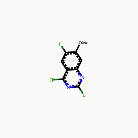 COc1cc2nc(Cl)nc(Cl)c2cc1F